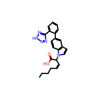 CCCC/C=C\C(C(=O)O)n1ccc2cc(-c3ccccc3-c3nn[nH]n3)ccc21